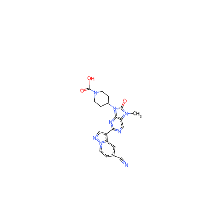 Cn1c(=O)n(C2CCN(C(=O)O)CC2)c2nc(-c3cnn4ccc(C#N)cc34)ncc21